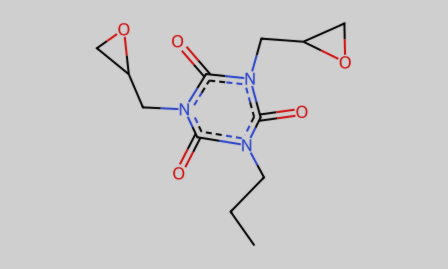 CCCn1c(=O)n(CC2CO2)c(=O)n(CC2CO2)c1=O